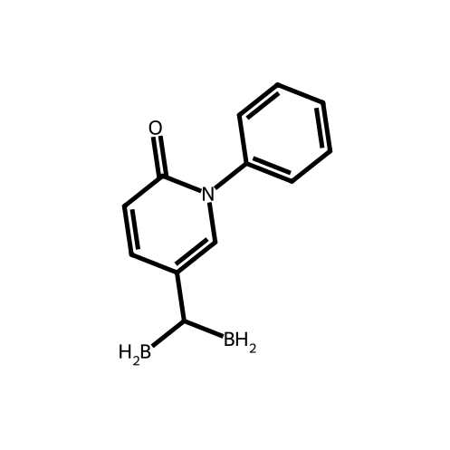 BC(B)c1ccc(=O)n(-c2ccccc2)c1